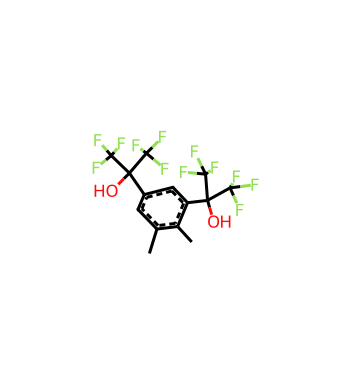 Cc1cc(C(O)(C(F)(F)F)C(F)(F)F)cc(C(O)(C(F)(F)F)C(F)(F)F)c1C